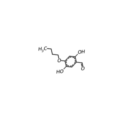 CCCCOc1cc(O)c(C=O)cc1O